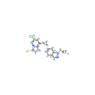 Fc1cnc2c([C@H]3C[C@@H]3c3cc4c(cn3)cnn4CC(F)(F)F)cc(Cl)nn12